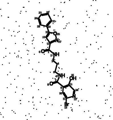 O=C(NCCCNC(=O)c1cc(Br)ncc1O)c1cc(-c2ccccc2)on1